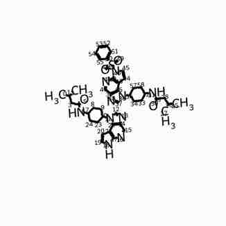 CC(C)CC(=O)NC1CCC(n2cnc3cnc4[nH]ccc4c32)CC1.CC(C)CC(=O)NC1CCC(n2cnc3cnc4c(ccn4S(=O)(=O)c4ccccc4)c32)CC1